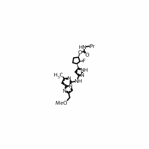 COCc1cn2c(Nc3cc([C@H]4CC[C@@H](OC(=O)NC(C)C)[C@H]4F)[nH]n3)nc(C)cc2n1